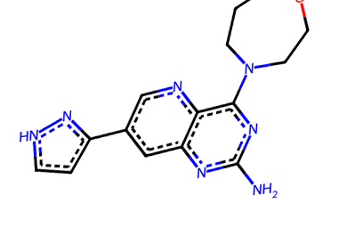 Nc1nc(N2CCCOCC2)c2ncc(-c3cc[nH]n3)cc2n1